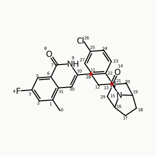 Cc1cc(F)cc2c(=O)[nH]c(CCC(=O)N3C4CCC3CN(c3ccc(Cl)cc3)C4)cc12